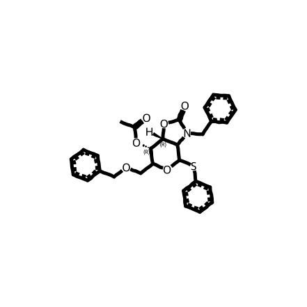 CC(=O)O[C@H]1C(COCc2ccccc2)OC(Sc2ccccc2)C2[C@H]1OC(=O)N2Cc1ccccc1